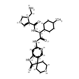 CC1CCC([C@H](NC(=O)C2=COCN2CN)C(=O)Nc2cc3c(cn2)C2(CCOCC2)C(=O)N3)CC1